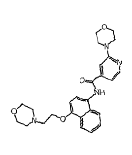 O=C(Nc1ccc(OCCN2CCOCC2)c2ccccc12)c1ccnc(N2CCOCC2)c1